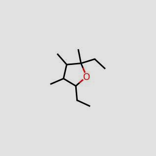 CCC1OC(C)(CC)C(C)C1C